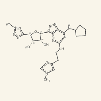 CC(C)n1nnc([C@H]2O[C@@H](n3cnc4c(NC5CCCC5)nc(NCCc5cn(C)cn5)nc43)[C@H](O)[C@@H]2O)n1